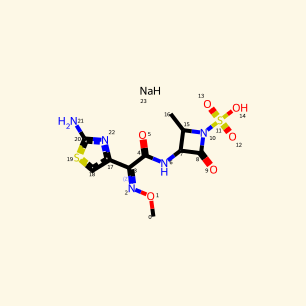 CO/N=C(\C(=O)NC1C(=O)N(S(=O)(=O)O)C1C)c1csc(N)n1.[NaH]